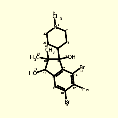 CN1CCC(C2(O)c3c(cc(Br)c(F)c3Br)C(O)C2(C)C)CC1